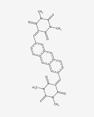 CN1C(=O)C(=Cc2ccc3cc4cc(C=C5C(=O)N(C)C(=S)N(C)C5=O)ccc4cc3c2)C(=O)N(C)C1=S